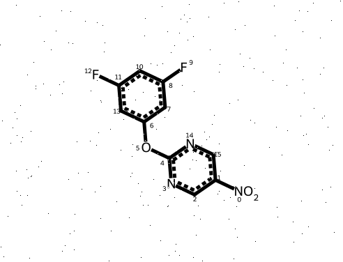 O=[N+]([O-])c1cnc(Oc2cc(F)cc(F)c2)nc1